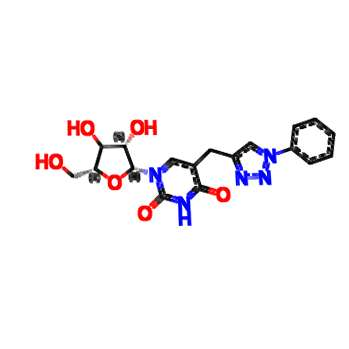 O=c1[nH]c(=O)n([C@@H]2O[C@H](CO)C(O)[C@@H]2O)cc1Cc1cn(-c2ccccc2)nn1